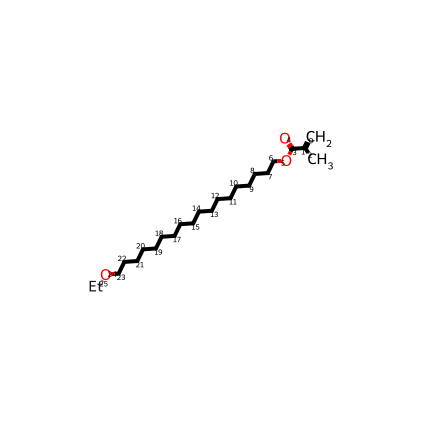 C=C(C)C(=O)OCCCCCCCCCCCCCCCCCCOCC